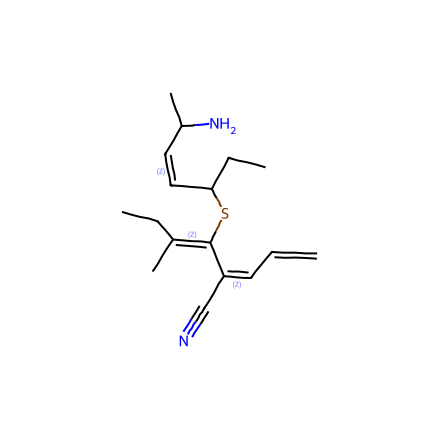 C=C/C=C(C#N)\C(SC(/C=C\C(C)N)CC)=C(/C)CC